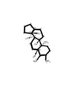 C[C@]12CCC(N)C(N)[C@@H]1CC[C@H]1[C@@H]3CCCC3CC[C@@H]12